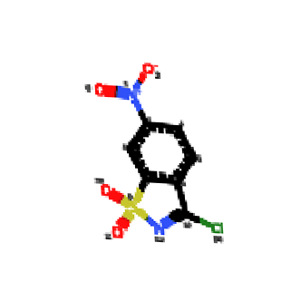 O=[N+]([O-])c1ccc2c(c1)S(=O)(=O)N=C2Cl